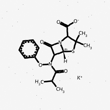 CC(C)C(=O)N(Oc1ccccc1)C1C(=O)N2C(C(=O)[O-])C(C)(C)S[C@H]12.[K+]